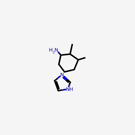 CC1CCCC(N)C1C.c1c[nH]cn1